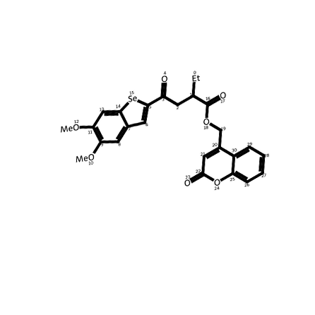 CCC(CC(=O)c1cc2cc(OC)c(OC)cc2[se]1)C(=O)OCc1cc(=O)oc2ccccc12